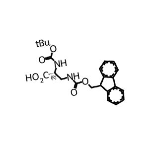 CC(C)(C)OC(=O)N[C@H](CNC(=O)OCC1c2ccccc2-c2ccccc21)C(=O)O